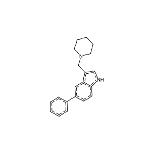 c1ccc(-c2ccc3[nH]cc(CN4CCCCC4)c3c2)cc1